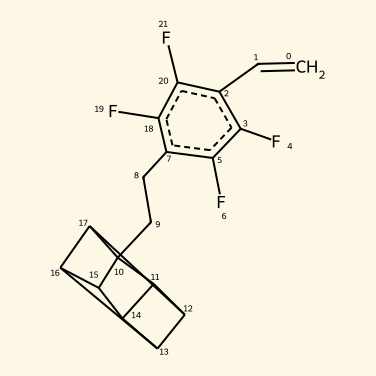 C=Cc1c(F)c(F)c(CCC23C4C5C6C4C2C6C53)c(F)c1F